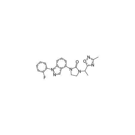 Cc1noc(C(C)N2CCN(c3cccc4c3cnn4-c3ccccc3F)C2=O)n1